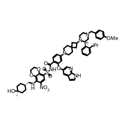 COc1ccc(CN2CCN(C3CC4(CCN(c5ccc(C(=O)NS(=O)(=O)c6cc([N+](=O)[O-])c(NC[C@H]7CC[C@](C)(O)CC7)c7c6OCCO7)c(Oc6cnc7[nH]ccc7c6)c5)CC4)C3)[C@H](c3ccccc3C(C)C)C2)cc1